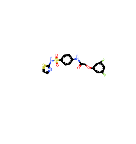 O=C(COc1cc(F)cc(F)c1)Nc1ccc(S(=O)(=O)Nc2nccs2)cc1